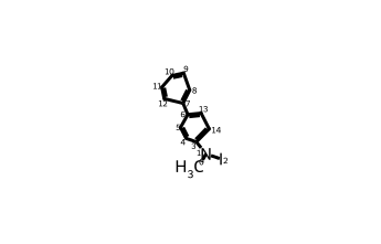 CN(I)c1ccc(-c2ccccc2)cc1